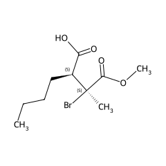 CCCC[C@@H](C(=O)O)[C@](C)(Br)C(=O)OC